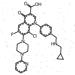 O=C(O)c1cn(-c2ccc(CNCC3CC3)cc2)c2c(Cl)c(N3CCN(c4ccccn4)CC3)c(F)cc2c1=O